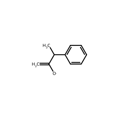 C=C([O])C(C)c1ccccc1